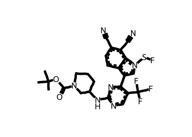 CC(C)(C)OC(=O)N1CCCC(Nc2ncc(C(F)(F)F)c(-c3cn(SF)c4c(C#N)c(C#N)ccc34)n2)C1